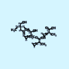 CC(C(=O)O)N1CC1.CC(C(=O)O)N1CC1.CC(C(=O)O)N1CC1.CCC(CO)(CO)CO